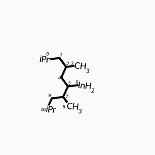 CC(C)CC(C)C[CH]([InH2])C(C)CC(C)C